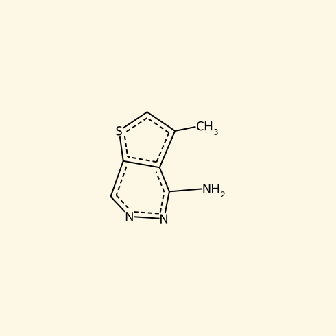 Cc1csc2cnnc(N)c12